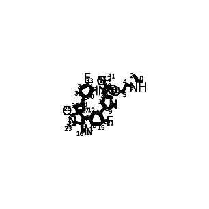 CC(C)NCCOc1ncc(-c2cc3c4c(cnc3cc2F)N(C)C(=O)C42CC(c3ccc(F)cc3)C2)cc1NS(C)(=O)=O